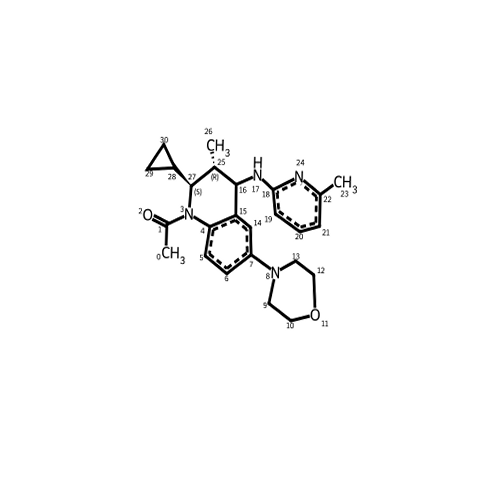 CC(=O)N1c2ccc(N3CCOCC3)cc2C(Nc2cccc(C)n2)[C@@H](C)[C@@H]1C1CC1